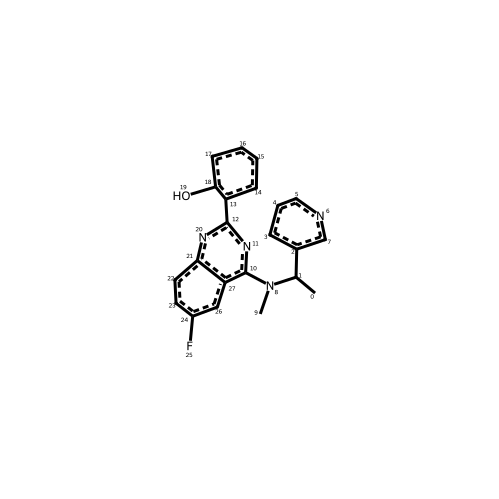 CC(c1cccnc1)N(C)c1nc(-c2ccccc2O)nc2ccc(F)cc12